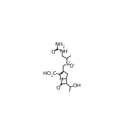 CC(O)C1C(=O)N2C(C(=O)O)=C(C[S+]([O-])C(C)CNC(N)=O)CC12